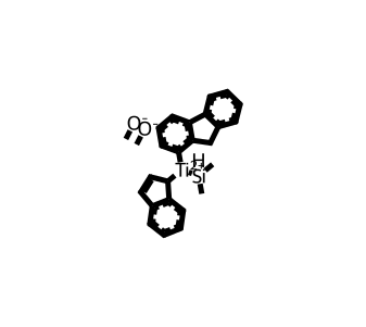 C[O-].C[O-].C[SiH](C)[Ti+2]([c]1cccc2c1Cc1ccccc1-2)[CH]1C=Cc2ccccc21